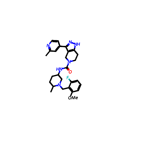 COc1cccc(F)c1CN1CC(NC(=O)N2CCc3[nH]nc(-c4ccnc(C)c4)c3C2)CCC1C